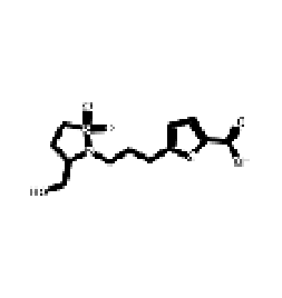 O=C(O)c1ccc(CCCN2C(CO)CCS2(=O)=O)s1